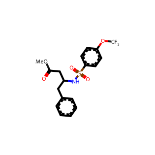 COC(=O)CC(Cc1ccccc1)NS(=O)(=O)c1ccc(OC(F)(F)F)cc1